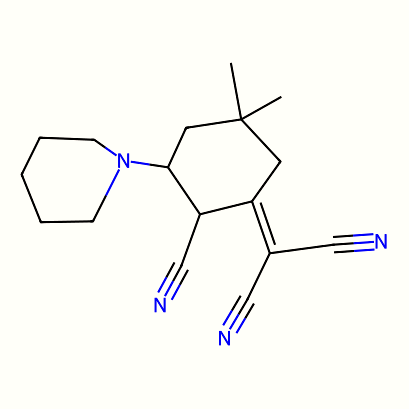 CC1(C)CC(=C(C#N)C#N)C(C#N)C(N2CCCCC2)C1